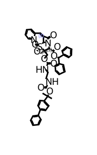 CC(C)(OC(=O)NCCNC(=O)OC[C@@]1(C)[C@H](C(=O)OC(c2ccccc2)c2ccccc2)N2C(=O)/C(=C/c3ccccn3)C2S1(=O)=O)c1ccc(-c2ccccc2)cc1